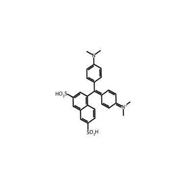 CN(C)c1ccc(C(=C2C=CC(=[N+](C)C)C=C2)c2cc(S(=O)(=O)O)cc3cc(S(=O)(=O)O)ccc23)cc1